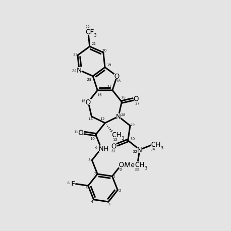 COc1cccc(F)c1CNC(=O)[C@@]1(C)COc2c(oc3cc(C(F)(F)F)cnc23)C(=O)N1CC(=O)N(C)C